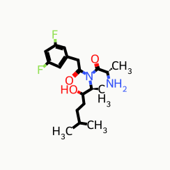 CC(C)CCC(O)[C@H](C)N(C(=O)Cc1cc(F)cc(F)c1)C(=O)[C@H](C)N